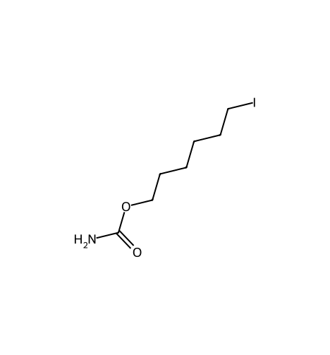 NC(=O)OCCCCCCI